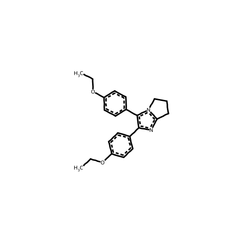 CCOc1ccc(-c2nc3n(c2-c2ccc(OCC)cc2)CCC3)cc1